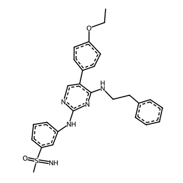 CCOc1ccc(-c2cnc(Nc3cccc(S(C)(=N)=O)c3)nc2NCCc2ccccc2)cc1